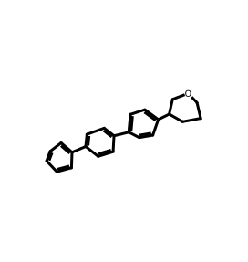 c1ccc(-c2ccc(-c3ccc(C4CCCOC4)cc3)cc2)cc1